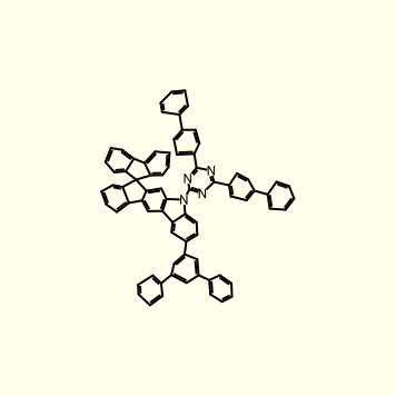 c1ccc(-c2ccc(-c3nc(-c4ccc(-c5ccccc5)cc4)nc(-n4c5ccc(-c6cc(-c7ccccc7)cc(-c7ccccc7)c6)cc5c5cc6c(cc54)C4(c5ccccc5-c5ccccc54)c4ccccc4-6)n3)cc2)cc1